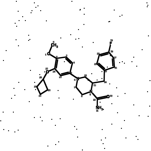 COc1ccc(N2CCN(C(N)=O)C(Cc3ccc(F)cc3)C2)cc1OC1CCC1